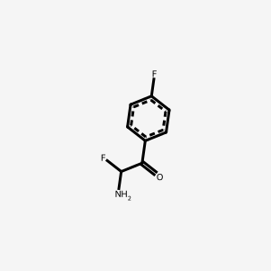 NC(F)C(=O)c1ccc(F)cc1